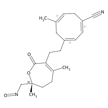 CC1=C(CC/C2=C/C=C(/C#N)C/C=C(/C)C2)C(=O)O[C@@](C)(CN=O)CC1